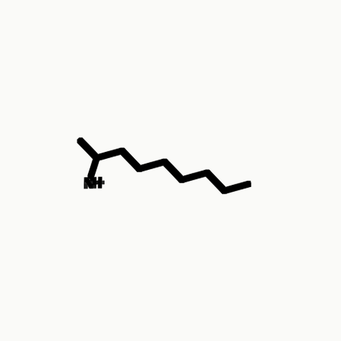 CCCCCCCC(C)[NH]